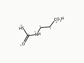 O=C(O)CCNC(=O)S